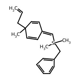 C=CCC1(C)C=CC(=C[Si](C)(C)Cc2ccccc2)C=C1